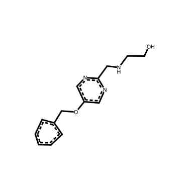 OCCNCc1ncc(OCc2ccccc2)cn1